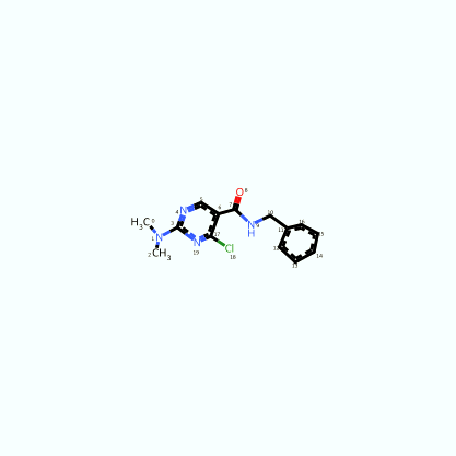 CN(C)c1ncc(C(=O)NCc2ccccc2)c(Cl)n1